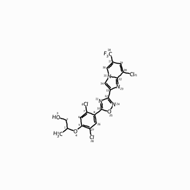 CC(CO)Oc1cc(Cl)c(-c2nc(-c3cn4cc(C(F)(F)F)cc(Cl)c4n3)no2)cc1Cl